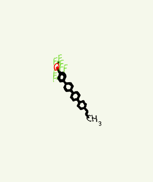 CCCC1CCC(C2CCC(C3CCC(c4cc(F)c(C(F)(F)OC(F)(F)F)c(F)c4)CC3)CC2)CC1